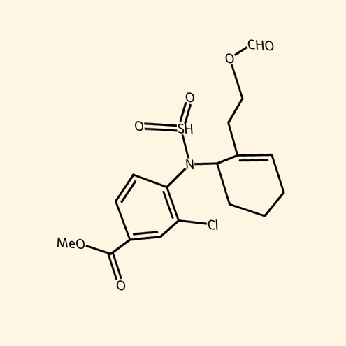 COC(=O)c1ccc(N(C2CCCC=C2CCOC=O)[SH](=O)=O)c(Cl)c1